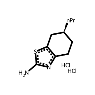 CCC[C@H]1CCc2nc(N)sc2C1.Cl.Cl